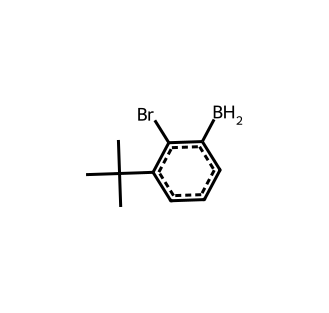 Bc1cccc(C(C)(C)C)c1Br